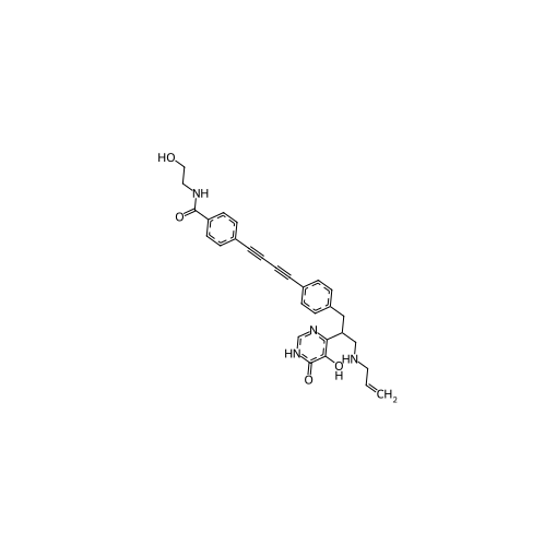 C=CCNCC(Cc1ccc(C#CC#Cc2ccc(C(=O)NCCO)cc2)cc1)c1nc[nH]c(=O)c1O